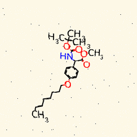 CCCCCCCCOc1ccc(C(NC(=O)OC(C)(C)C)C(=O)OC)cc1